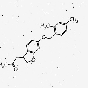 CC(=O)CC1COc2cc(OCc3ccc(C)cc3C)ccc21